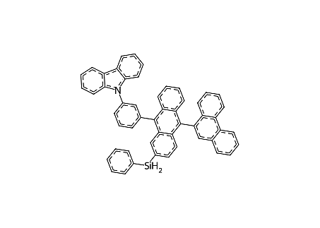 c1ccc([SiH2]c2ccc3c(-c4cc5ccccc5c5ccccc45)c4ccccc4c(-c4cccc(-n5c6ccccc6c6ccccc65)c4)c3c2)cc1